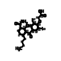 CCCCc1ccc(C(N)=O)c(O)c1C(=O)c1cc(I)c(OCC(=O)O)c(I)c1